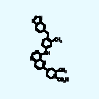 Cc1cc(Nc2ncnc3ccc(N4CCN(C(=O)O)C(C)C4)nc23)ccc1Cc1ccn2ncnc2c1